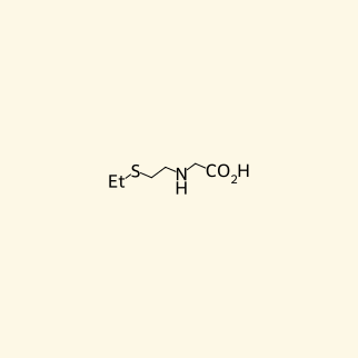 CCSCCNCC(=O)O